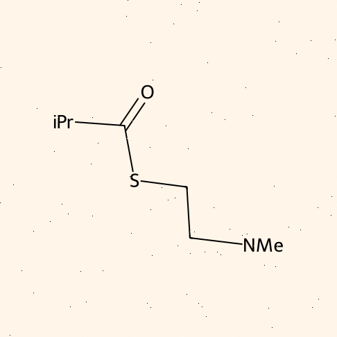 CNCCSC(=O)C(C)C